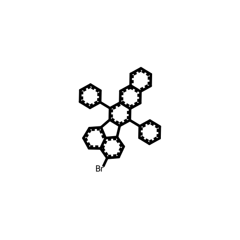 Brc1ccc2c3c(cccc13)-c1c-2c(-c2ccccc2)c2cc3ccccc3cc2c1-c1ccccc1